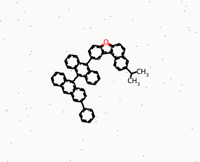 CC(C)c1ccc2c(ccc3oc4ccc(-c5c6ccccc6c(-c6c7ccccc7cc7cc(-c8ccccc8)ccc67)c6ccccc56)cc4c32)c1